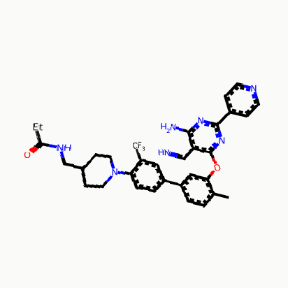 CCC(=O)NCC1CCN(c2ccc(-c3ccc(C)c(Oc4nc(-c5ccncc5)nc(N)c4C=N)c3)cc2C(F)(F)F)CC1